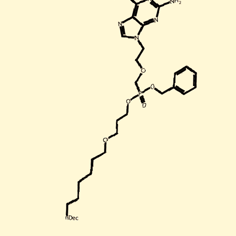 CCCCCCCCCCCCCCCCOCCCOP(=O)(COCCn1cnc2c(OC)nc(N)nc21)OCc1ccccc1